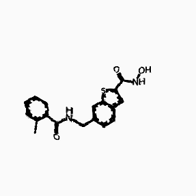 Cc1ccccc1C(=O)NCc1ccc2cc(C(=O)NO)sc2c1